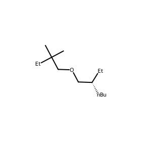 CCCC[C@@H](CC)COCC(C)(C)CC